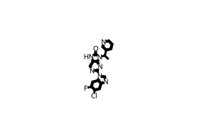 CC(c1cccnc1)n1c(=O)[nH]c2cnc(-n3cnc4cc(Cl)c(F)cc43)nc21